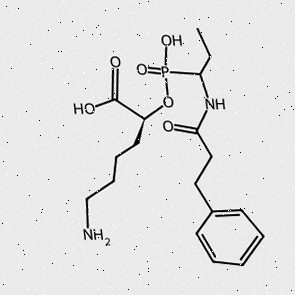 CCC(NC(=O)CCc1ccccc1)P(=O)(O)O[C@@H](CCCCN)C(=O)O